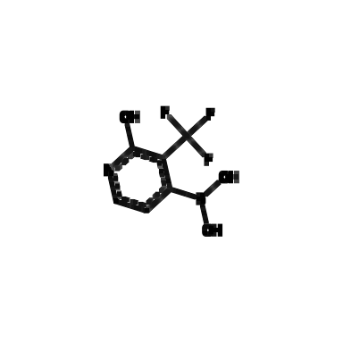 OB(O)c1ccnc(O)c1C(F)(F)F